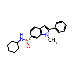 Cn1c(-c2ccccc2)cc2ccc([S+]([O-])NC3CCCCC3)cc21